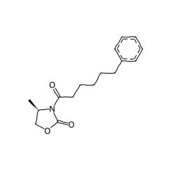 C[C@@H]1COC(=O)N1C(=O)CCCCCc1ccccc1